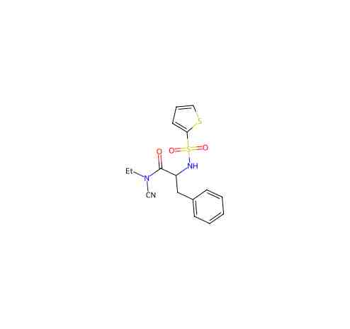 CCN(C#N)C(=O)C(Cc1ccccc1)NS(=O)(=O)c1cccs1